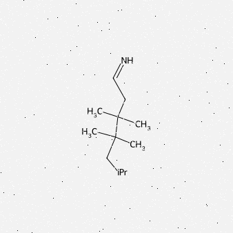 CC(C)CC(C)(C)C(C)(C)CC=N